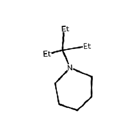 [CH2]CC(CC)(CC)N1CCCCC1